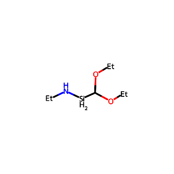 CCN[SiH2]C(OCC)OCC